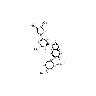 Cc1nc(N2C[C@@H](O)[C@@H](O)C2)cc(-n2ncc3cc(C)c([C@H]4CCN(C(=O)O)C[C@H]4F)cc32)n1